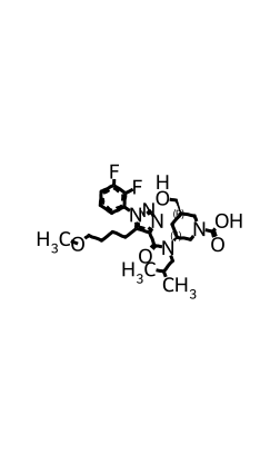 COCCCCc1c(C(=O)N(CC(C)C)[C@H]2C[C@@H](CO)CN(C(=O)O)C2)nnn1-c1cccc(F)c1F